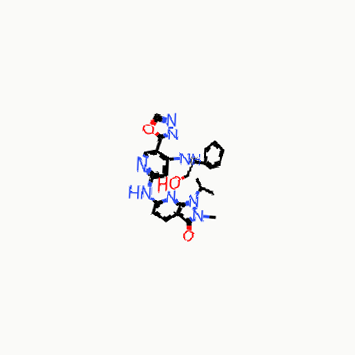 CC(C)n1c2nc(Nc3cc(N[C@H](CO)c4ccccc4)c(-c4nnco4)cn3)ccc2c(=O)n1C